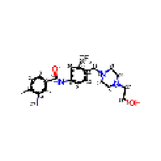 Cc1ccc(C(=O)Nc2ccc(CN3CCN(CCO)CC3)c(C(F)(F)F)c2)cc1I